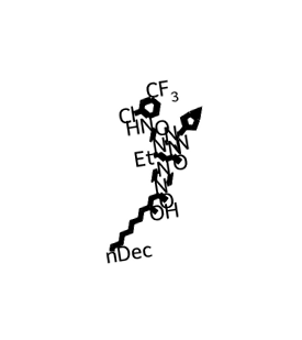 CCCCCCCCCCCCCCCCCC(O)CC(=O)N1CCN(c2c(CC)n(CC(=O)Nc3ccc(C(F)(F)F)cc3Cl)c3nc(C4=CC5CC5C4)nn3c2=O)CC1